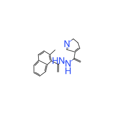 C=C(NNC(=C)c1c(C)ccc2ccccc12)C1=CCCN=C1